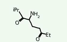 CCC(=O)CCC(N)C(=O)C(C)C